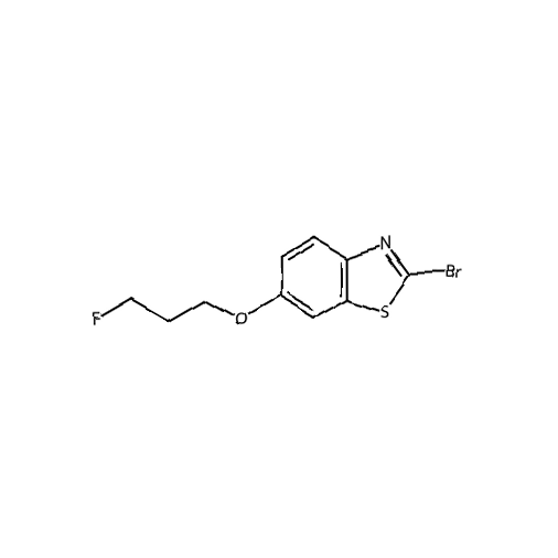 FCCCOc1ccc2nc(Br)sc2c1